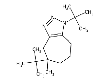 CC(C)(C)n1nnc2c1CCCC(C)(C(C)(C)C)C2